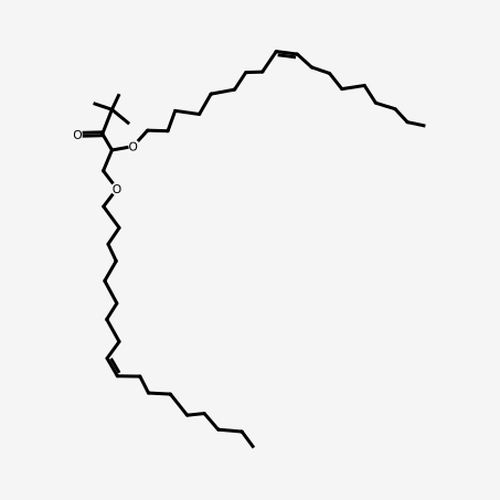 CCCCCCCC/C=C\CCCCCCCCOCC(OCCCCCCCC/C=C\CCCCCCCC)C(=O)C(C)(C)C